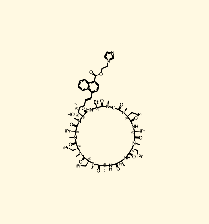 CC[C@@H]1NC(=O)[C@H]([C@H](O)[C@H](C)CC=Cc2ccc(C(=O)OCCn3ccnc3)c3ccccc23)N(C)C(=O)[C@H](C(C)C)N(C)C(=O)[C@H](CC(C)C)N(C)C(=O)[C@H](CC(C)C)N(C)C(=O)[C@@H](C)NC(=O)[C@H](C)NC(=O)[C@H](CC(C)C)N(C)C(=O)[C@H](C(C)C)NC(=O)[C@H](CC(C)C)N(C)C(=O)CN(C)C1=O